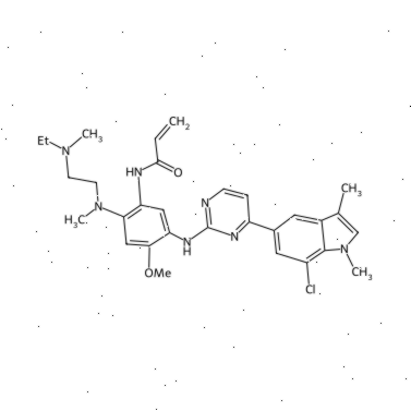 C=CC(=O)Nc1cc(Nc2nccc(-c3cc(Cl)c4c(c3)c(C)cn4C)n2)c(OC)cc1N(C)CCN(C)CC